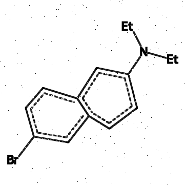 CCN(CC)c1ccc2cc(Br)ccc2c1